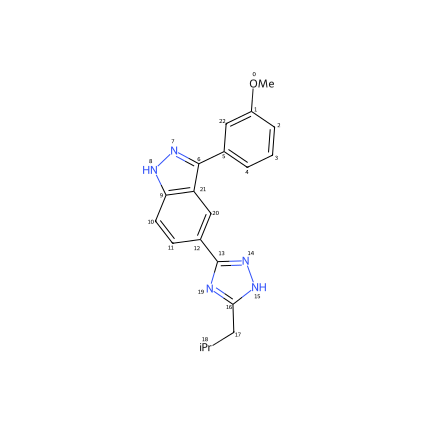 COc1cccc(-c2n[nH]c3ccc(-c4n[nH]c(CC(C)C)n4)cc23)c1